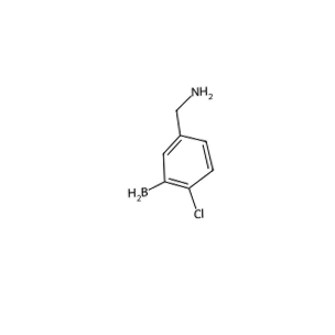 Bc1cc(CN)ccc1Cl